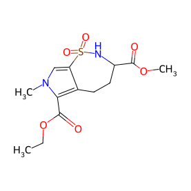 CCOC(=O)c1c2c(cn1C)S(=O)(=O)NC(C(=O)OC)CC2